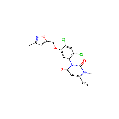 Cc1cc(COc2cc(-n3c(=O)cc(C(F)(F)F)n(C)c3=O)c(Cl)cc2Cl)on1